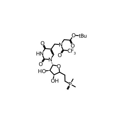 C=P(C)(C)CCC1O[C@@H](n2cc(CN(CC(=O)OC(C)(C)C)C(=O)C(F)(F)F)c(=O)[nH]c2=O)[C@H](O)[C@@H]1O